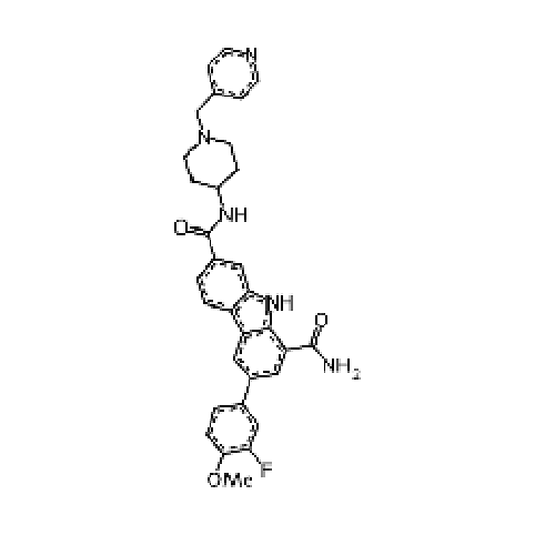 COc1ccc(-c2cc(C(N)=O)c3[nH]c4cc(C(=O)NC5CCN(Cc6ccncc6)CC5)ccc4c3c2)cc1F